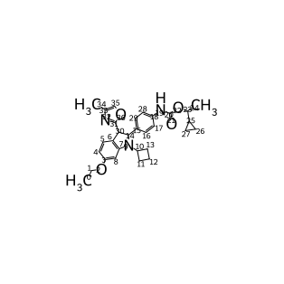 CCOc1ccc2c(c1)N(C1CCC1)C(c1ccc(NC(=O)OC(C)C3CC3)cc1)C2c1nc(C)co1